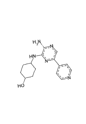 Nc1ncc(-c2ccncc2)nc1NC1CCC(O)CC1